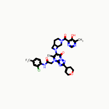 CCc1c(N2CC3CCN(C(=O)c4ncnc(C)c4O)CC32)c(=O)n2nc(C3=CCOCC3)nc2n1CC(=O)Nc1ccc(C(F)(F)F)cc1Cl